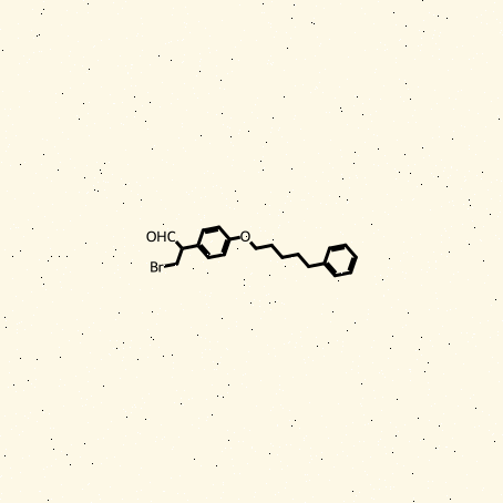 O=CC(CBr)c1ccc(OCCCCCc2ccccc2)cc1